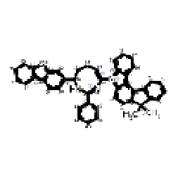 CC1(C)c2ccccc2-c2c1ccc1c2c2ccccc2n1C1=C/CCC(c2ccc3c(c2)sc2ccccc23)N/C(c2ccccc2)=N\1